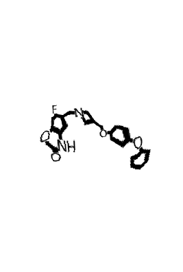 O=C1COc2cc(F)c(CN3CC(COc4ccc(Oc5ccccc5)cc4)C3)cc2N1